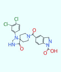 O=C(c1ccc2c(cnn2C(=O)O)c1)N1CCC2(CC1)C(=O)NCN2c1ccc(Cl)c(Cl)c1